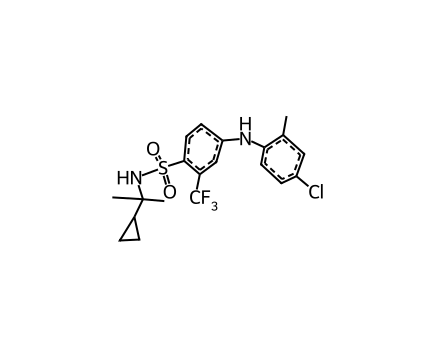 Cc1cc(Cl)ccc1Nc1ccc(S(=O)(=O)NC(C)(C)C2CC2)c(C(F)(F)F)c1